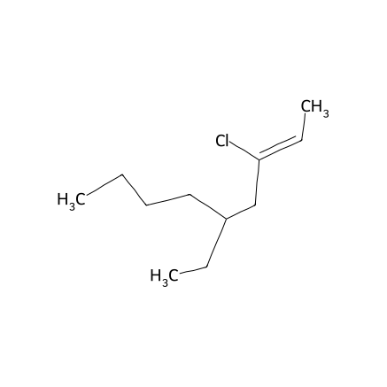 CC=C(Cl)CC(CC)CCCC